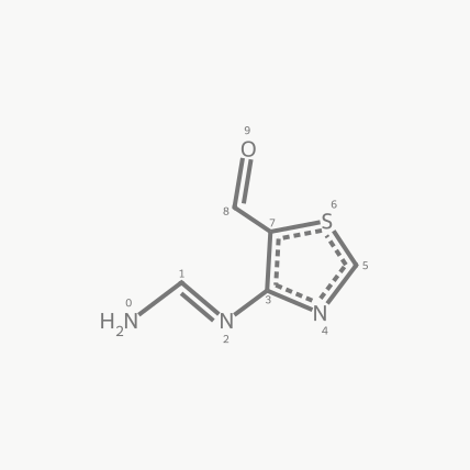 N/C=N/c1ncsc1C=O